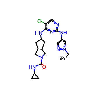 CC(C)Cn1cc(Nc2ncc(Cl)c(NC3CC4CN(C(=O)NC5CC5)CC4C3)n2)cn1